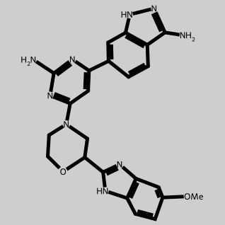 COc1ccc2[nH]c(C3CN(c4cc(-c5ccc6c(N)n[nH]c6c5)nc(N)n4)CCO3)nc2c1